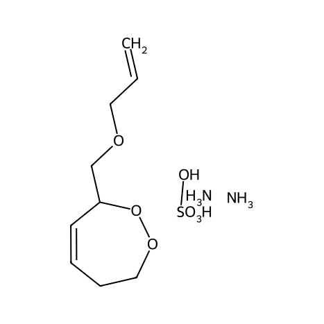 C=CCOCC1C=CCCOO1.N.N.O=S(=O)(O)O